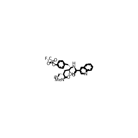 CNC(=O)[C@H](CC(C)C)C[C@H](O)[C@H](Cc1ccc(OS(=O)(=O)C(F)(F)F)cc1)NC(=O)c1cnc2ccccc2c1